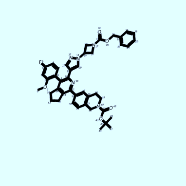 COc1cc(F)ccc1-c1c(-c2cnn(C3CN(C(=O)OCc4ccccc4)C3)c2)nc(-c2ccc3c(c2)CCN(C(=O)OC(C)(C)C)C3)c2c1CCC2